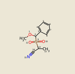 COC(c1ccccc1)S(=O)(=O)C(C)C#N